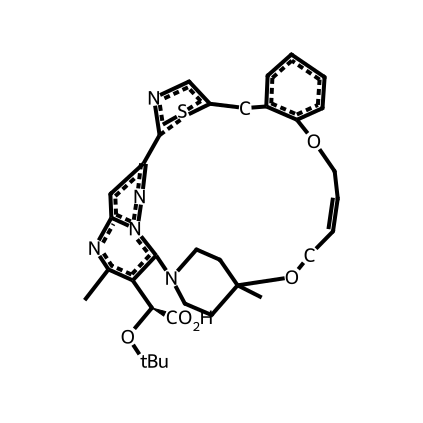 Cc1nc2cc3nn2c(c1[C@H](OC(C)(C)C)C(=O)O)N1CCC(C)(CC1)OCC=CCOc1ccccc1Cc1cnc-3s1